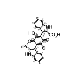 CCCc1[nH]c2ccccc2c1C1=C(O)C(=O)C(c2c(C(=O)O)[nH]c3ccccc23)=C(O)C1=O